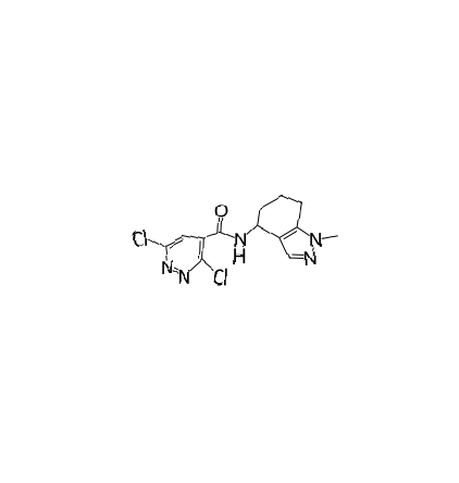 Cn1ncc2c1CCCC2NC(=O)c1cc(Cl)nnc1Cl